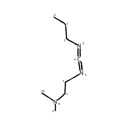 CCCN=C=NCCN(C)C